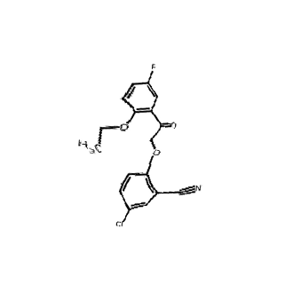 CCOc1ccc(F)cc1C(=O)COc1ccc(Cl)cc1C#N